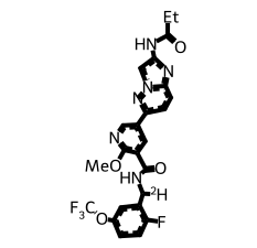 [2H]C(NC(=O)c1cc(-c2ccc3nc(NC(=O)CC)cn3n2)cnc1OC)c1cc(OC(F)(F)F)ccc1F